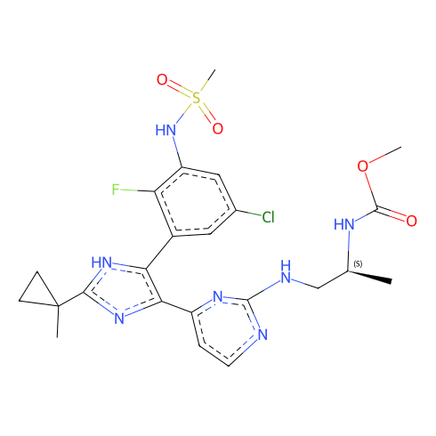 COC(=O)N[C@@H](C)CNc1nccc(-c2nc(C3(C)CC3)[nH]c2-c2cc(Cl)cc(NS(C)(=O)=O)c2F)n1